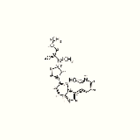 COCC(=O)N(C)[C@H]1CCN(c2ccc3ncc(-c4cccnc4O)n3n2)C1